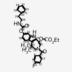 CCOC(=O)OC1=CN(C(=O)c2ccc(F)cc2)CC(C)(C)c2c1[nH]c1cc(OC(=O)NCCc3ccccc3)ccc21